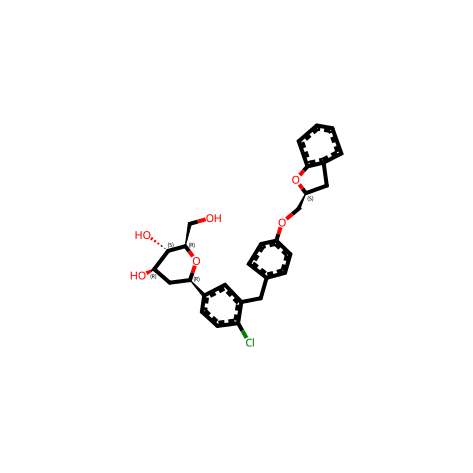 OC[C@H]1O[C@@H](c2ccc(Cl)c(Cc3ccc(OC[C@@H]4Cc5ccccc5O4)cc3)c2)C[C@@H](O)[C@@H]1O